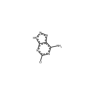 Nc1nc(Cl)nc2[nH]nnc12